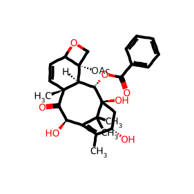 CC(=O)O[C@@]12COC1C=C[C@@]1(C)C(=O)[C@H](O)C3=C(C)[C@@H](O)C[C@@](O)([C@@H](OC(=O)c4ccccc4)[C@@H]12)C3(C)C